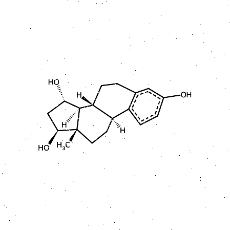 C[C@]12CC[C@@H]3c4ccc(O)cc4CC[C@H]3[C@@H]1[C@@H](O)C[C@@H]2O